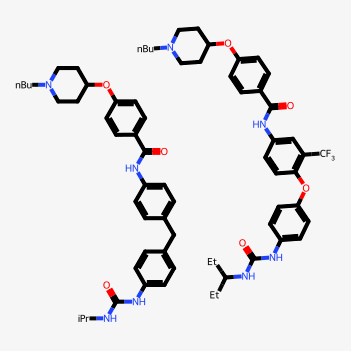 CCCCN1CCC(Oc2ccc(C(=O)Nc3ccc(Cc4ccc(NC(=O)NC(C)C)cc4)cc3)cc2)CC1.CCCCN1CCC(Oc2ccc(C(=O)Nc3ccc(Oc4ccc(NC(=O)NC(CC)CC)cc4)c(C(F)(F)F)c3)cc2)CC1